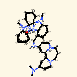 CN(C)C1=CC2=C3C=C(N(C)Cc4cccc5c4N(C)C4(CCCCC46N(C)c4ccccc4N6C)N5C)C=CN3CCCN2C=C1